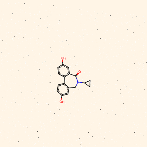 O=C1c2cc(O)ccc2-c2ccc(O)cc2CN1C1CC1